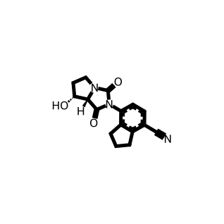 N#Cc1ccc(N2C(=O)[C@@H]3[C@H](O)CCN3C2=O)c2c1CCC2